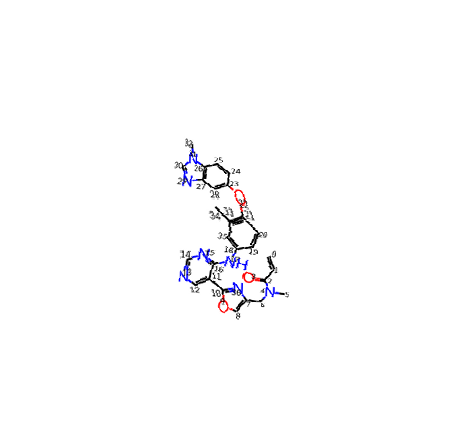 C=CC(=O)N(C)Cc1coc(-c2cncnc2Nc2ccc(Oc3ccc4c(c3)ncn4C)c(C)c2)n1